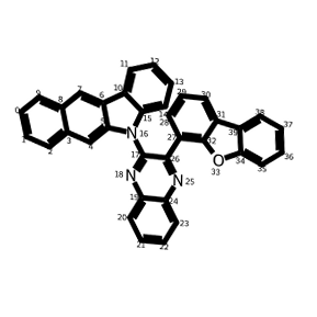 c1ccc2cc3c(cc2c1)c1ccccc1n3-c1nc2ccccc2nc1-c1cccc2c1oc1ccccc12